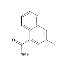 CNC(=O)c1cc(C)cc2ccccc12